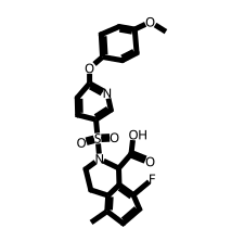 COc1ccc(Oc2ccc(S(=O)(=O)N3CCc4c(C)ccc(F)c4C3C(=O)O)cn2)cc1